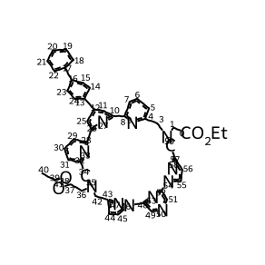 CCOC(=O)CN1Cc2cccc(n2)-c2cc(-c3ccc(-c4ccccc4)cc3)cc(n2)-c2cccc(n2)CN(CC2OC(C)O2)Cc2ccn(n2)-c2cncc(n2)-n2ccc(n2)C1